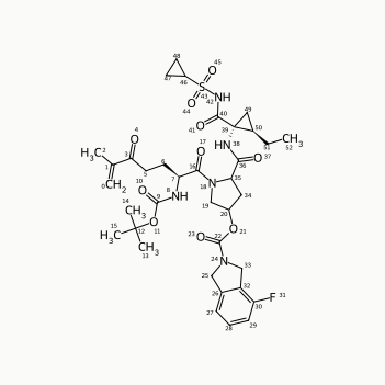 C=C(C)C(=O)CC[C@H](NC(=O)OC(C)(C)C)C(=O)N1CC(OC(=O)N2Cc3cccc(F)c3C2)CC1C(=O)N[C@]1(C(=O)NS(=O)(=O)C2CC2)C[C@H]1CC